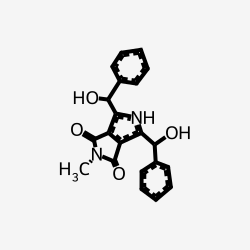 CN1C(=O)c2c(C(O)c3ccccc3)[nH]c(C(O)c3ccccc3)c2C1=O